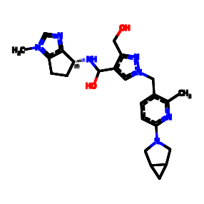 Cc1nc(N2CC3CC3C2)ccc1Cn1cc(C(O)N[C@@H]2CCc3c2ncn3C)c(CO)n1